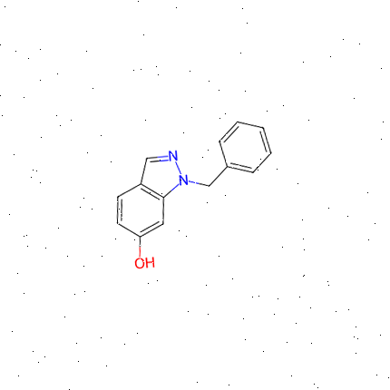 Oc1ccc2cnn(Cc3ccccc3)c2c1